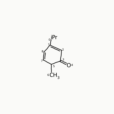 CC(C)C1=CC(=O)C(C)C=C1